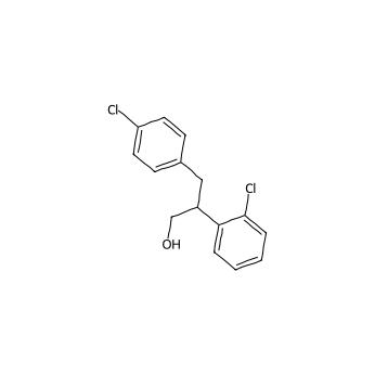 OCC(Cc1ccc(Cl)cc1)c1ccccc1Cl